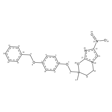 CC1(COc2ccc(OCc3ccccc3)cc2)CCn2cc([N+](=O)[O-])nc2O1